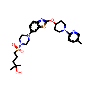 Cc1ccc(N2CCC(Oc3nc4ccc(N5CCN(S(=O)(=O)CCCC(C)(C)O)CC5)cc4s3)CC2)nc1